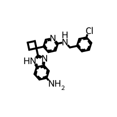 Nc1ccc2[nH]c(C3(c4ccc(NCc5cccc(Cl)c5)nc4)CCC3)nc2c1